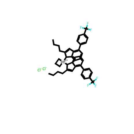 CCCCC1=Cc2c(-c3ccc(C(F)(F)F)cc3)cccc2[CH]1[Hf+2]1([CH]2C(CCCC)=Cc3c(-c4ccc(C(F)(F)F)cc4)cccc32)[CH2]C[CH2]1.[Cl-].[Cl-]